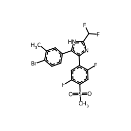 Cc1cc(-c2[nH]c(C(F)F)nc2-c2cc(F)c(S(C)(=O)=O)cc2F)ccc1Br